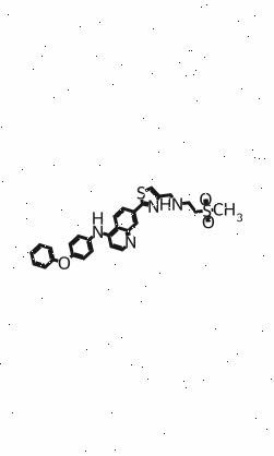 CS(=O)(=O)CCNCc1csc(-c2ccc3c(Nc4ccc(Oc5ccccc5)cc4)ccnc3c2)n1